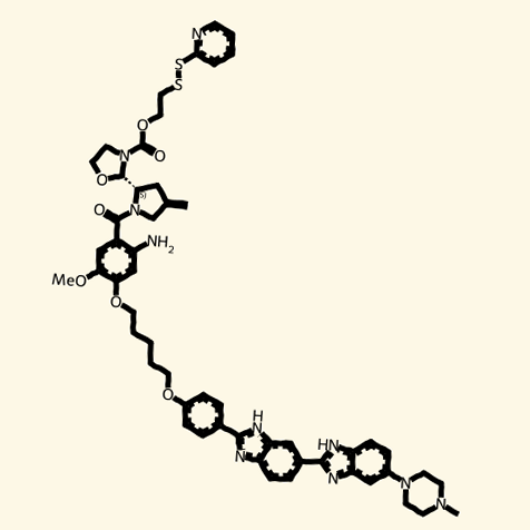 C=C1C[C@@H](C2OCCN2C(=O)OCCSSc2ccccn2)N(C(=O)c2cc(OC)c(OCCCCCOc3ccc(-c4nc5ccc(-c6nc7cc(N8CCN(C)CC8)ccc7[nH]6)cc5[nH]4)cc3)cc2N)C1